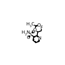 CC(=O)OC(CF)c1ncccc1S(N)(=O)=O